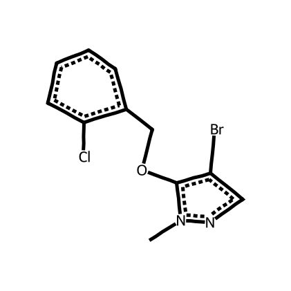 Cn1ncc(Br)c1OCc1ccccc1Cl